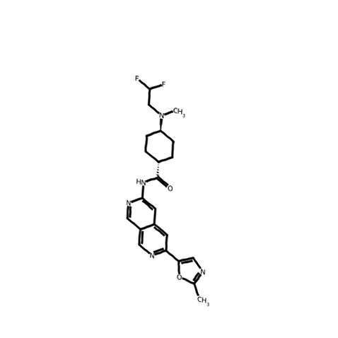 Cc1ncc(-c2cc3cc(NC(=O)[C@H]4CC[C@H](N(C)CC(F)F)CC4)ncc3cn2)o1